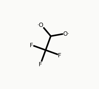 [O]C([O])C(F)(F)F